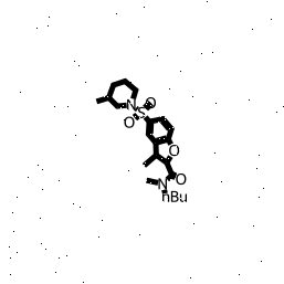 CCCCN(C)C(=O)C1Oc2ccc(S(=O)(=O)N3CCCC(C)C3)cc2C1C